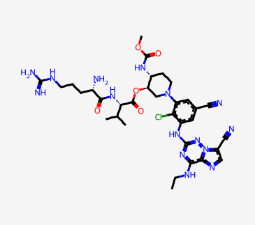 CCNc1nc(Nc2cc(C#N)cc(N3CC[C@@H](NC(=O)OC)[C@H](OC(=O)[C@@H](NC(=O)[C@@H](N)CCCNC(=N)N)C(C)C)C3)c2Cl)nn2c(C#N)cnc12